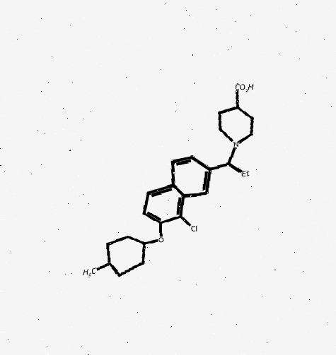 CCC(c1ccc2ccc(OC3CCC(C)CC3)c(Cl)c2c1)N1CCC(C(=O)O)CC1